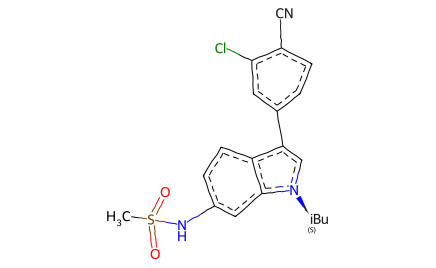 CC[C@H](C)n1cc(-c2ccc(C#N)c(Cl)c2)c2ccc(NS(C)(=O)=O)cc21